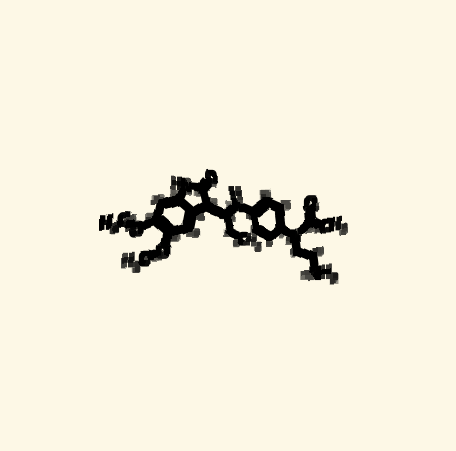 CC/C(Nc1ccc(N(CCN)C(C)=O)cc1)=C1/C(=O)Nc2cc(OC)c(OC)cc21